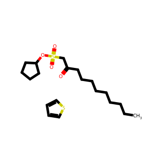 CCCCCCCCCC(=O)CS(=O)(=O)OC1CCCC1.c1ccsc1